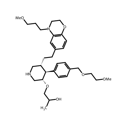 COCCCN1CCOc2ccc(CC[C@H]3CNC[C@@H](OCC(C)O)[C@@H]3c3ccc(COCCOC)cc3)cc21